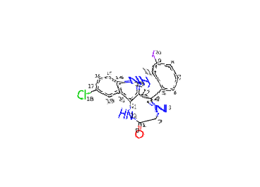 O=C1CN=C(c2cccc(I)c2)c2[nH]c3ccc(Cl)cc3c2N1